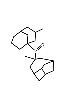 CC1CC2CCCC([PH](=O)C3(C)CC4CC5CC(C3)C5C4)(C1)C2